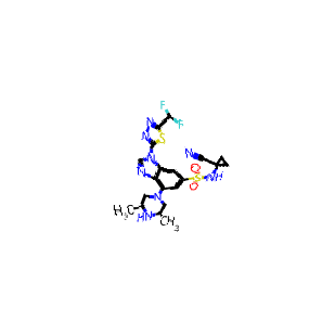 C[C@H]1CN(c2cc(S(=O)(=O)NC3(C#N)CC3)cc3c2ncn3-c2nnc(C(F)F)s2)C[C@H](C)N1